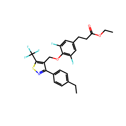 CCOC(=O)CCc1cc(F)c(OCc2c(-c3ccc(CC)cc3)nsc2C(F)(F)F)c(F)c1